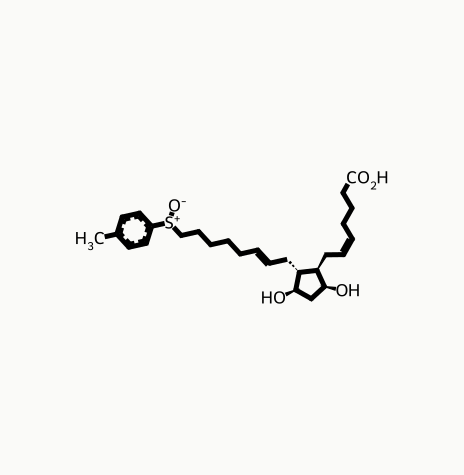 Cc1ccc([S+]([O-])CCCCC/C=C/C[C@@H]2[C@@H](C/C=C\CCCC(=O)O)[C@@H](O)C[C@H]2O)cc1